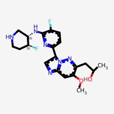 COc1cc2ncc(-c3ccc(F)c(N[C@H]4CNCC[C@@H]4F)n3)n2nc1CC(C)O